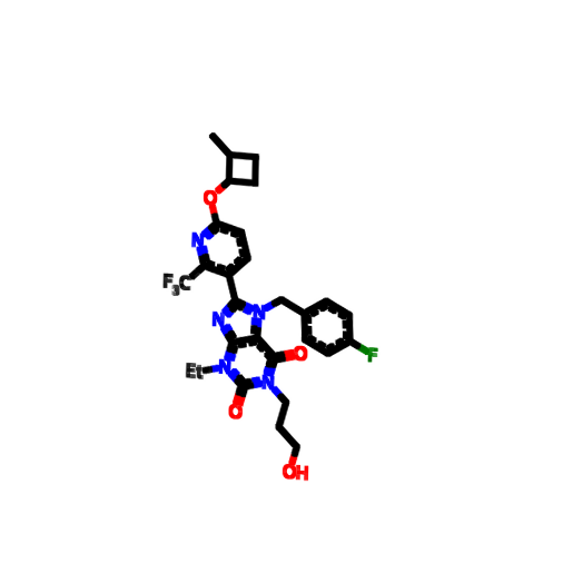 CCn1c(=O)n(CCCO)c(=O)c2c1nc(-c1ccc(OC3CCC3C)nc1C(F)(F)F)n2Cc1ccc(F)cc1